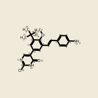 COc1c(/C=C/c2ccc(N)cc2)cc(-c2cnc(Cl)[nH]c2=O)cc1C(C)(C)C